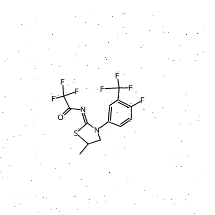 CC1CN(c2ccc(F)c(C(F)(F)F)c2)C(=NC(=O)C(F)(F)F)S1